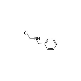 ClCNCc1ccccc1